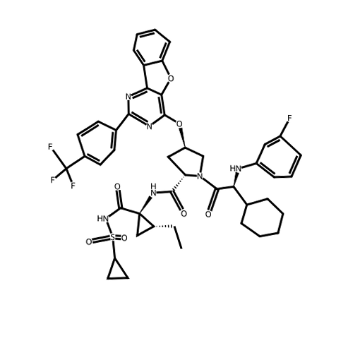 CC[C@@H]1C[C@]1(NC(=O)[C@@H]1C[C@@H](Oc2nc(-c3ccc(C(F)(F)F)cc3)nc3c2oc2ccccc23)CN1C(=O)[C@@H](Nc1cccc(F)c1)C1CCCCC1)C(=O)NS(=O)(=O)C1CC1